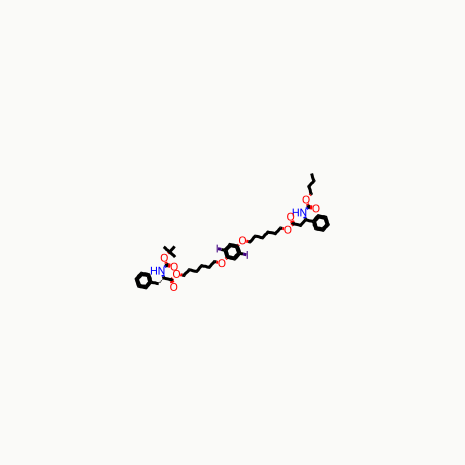 CCCCOC(=O)NC(CC(=O)OCCCCCCOc1cc(I)c(OCCCCCCOC(=O)[C@H](Cc2ccccc2)NC(=O)OC(C)(C)C)cc1I)c1ccccc1